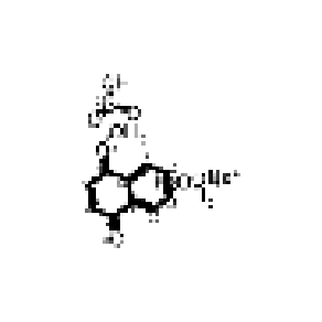 O.O.O.O=C1C=CC(=O)c2ccccc21.O=S([O-])O.[Na+]